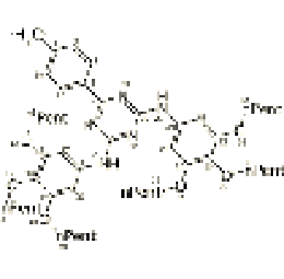 [CH2]c1ccc(-c2nc(Nc3cc(OCCCCC)c(OCCCCC)c(OCCCCC)c3)nc(Nc3cc(OCCCCC)c(OCCCCC)c(OCCCCC)c3)n2)cc1